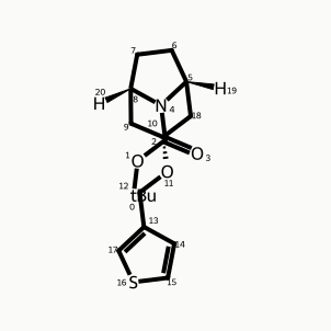 CC(C)(C)OC(=O)N1[C@@H]2CC[C@H]1C[C@@H](OCc1ccsc1)C2